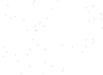 CC(F)(F)CC(F)(F)CC(=O)O